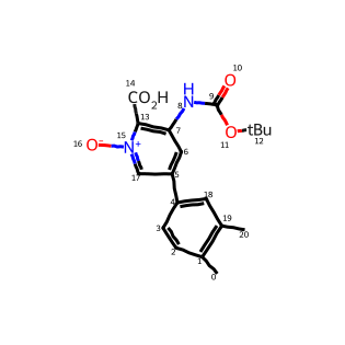 Cc1ccc(-c2cc(NC(=O)OC(C)(C)C)c(C(=O)O)[n+]([O-])c2)cc1C